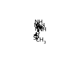 Cc1nc(CSc2nc3nc(N)sc3c(=O)[nH]2)cs1